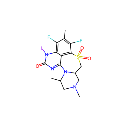 Cc1c(F)c2c3c(nc(=O)n(I)c3c1F)N1C(C)CN(C)CC1CS2(=O)=O